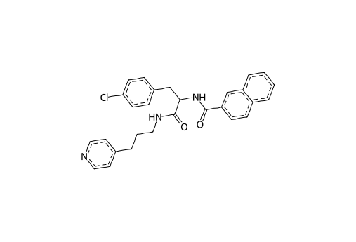 O=C(NC(Cc1ccc(Cl)cc1)C(=O)NCCCc1ccncc1)c1ccc2ccccc2c1